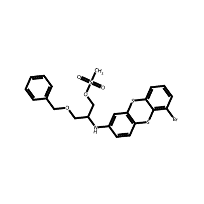 CS(=O)(=O)OCC(COCc1ccccc1)Nc1ccc2c(c1)Sc1cccc(Br)c1S2